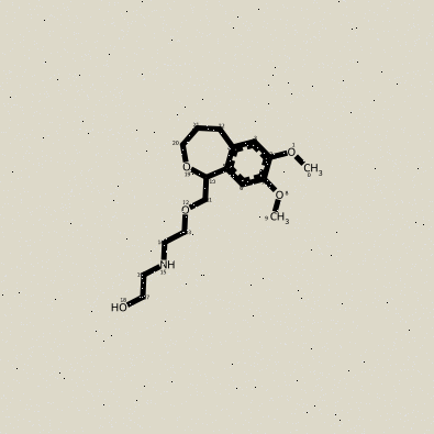 COc1cc2c(cc1OC)C(COCCNCCO)OCCC2